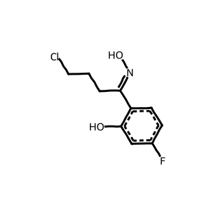 O/N=C(\CCCCl)c1ccc(F)cc1O